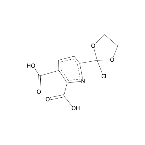 O=C(O)c1ccc(C2(Cl)OCCO2)nc1C(=O)O